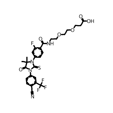 CC1(C)C(=O)N(c2ccc(C#N)c(C(F)(F)F)c2)C(=S)N1c1ccc(C(=O)NCCOCCOCCC(=O)O)c(F)c1